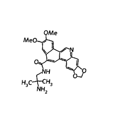 COc1cc2c(C(=O)NCC(C)(C)N)cc3c4cc5c(cc4ncc3c2cc1OC)OCO5